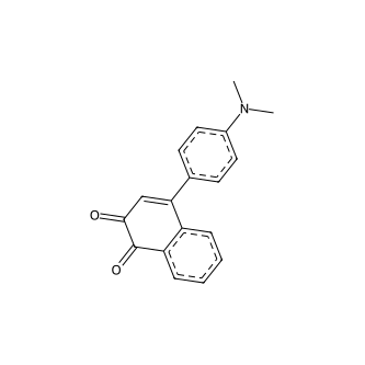 CN(C)c1ccc(C2=CC(=O)C(=O)c3ccccc32)cc1